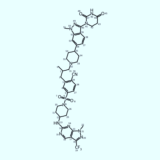 CC(Cc1cc(S(=O)(=O)N2CCC(Nc3ncc4c(C(F)(F)F)nn(C)c4n3)CC2)ccc1C#N)CN1CCC(c2ccc3c(N4CCC(=O)NC4=O)nn(C)c3c2)CC1